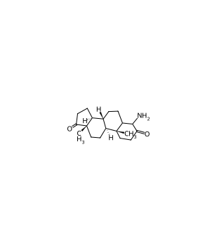 C[C@]12CCC(=O)C(N)C1CC[C@@H]1[C@@H]2CC[C@]2(C)C(=O)CC[C@@H]12